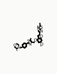 COc1cc(OCc2nc(-c3ccc(CN4CCOC[C@@H]4C)cc3)sc2C)c2cc(-c3cn4nc(C)sc4n3)oc2c1